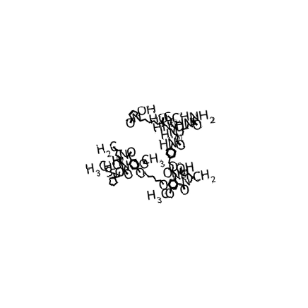 C=C1C[C@H]2C(O)N(C(=O)OCc3ccc(NC(=O)[C@H](CCCNC(N)=O)NC(=O)[C@@H](NC(=O)CCCCCN4C(=O)C=CC4O)C(C)C)cc3)c3cc(OCCCCCOc4cc5c(cc4OC)C(=O)N4CC(=C)C[C@H]4C(O)N5C(=O)OCC4(SSCC)CCCC4)c(OC)cc3C(=O)N2C1